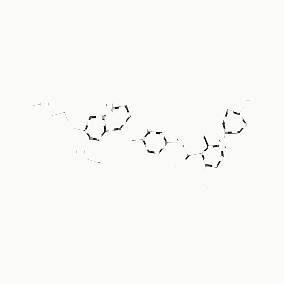 COCCOc1cc2nccc(Oc3ccc(NC(=O)c4c(OC)ccn(-c5ccc(F)cc5)c4=O)cc3F)c2c2c1OCCO2